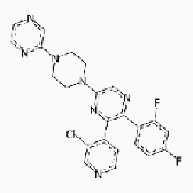 Fc1ccc(-c2ncc(N3CCN(c4cnccn4)CC3)nc2-c2ccncc2Cl)c(F)c1